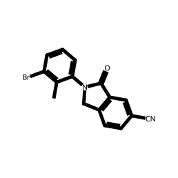 Cc1c(Br)cccc1N1Cc2ccc(C#N)cc2C1=O